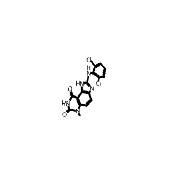 Cn1c(=O)[nH]c(=O)c2c3[nH]c(Nc4c(Cl)cccc4Cl)nc3ccc21